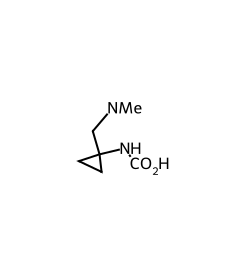 CNCC1(NC(=O)O)CC1